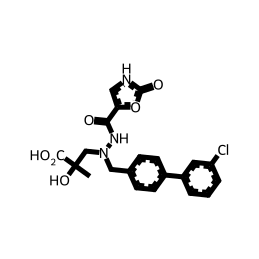 CC(O)(CN(Cc1ccc(-c2cccc(Cl)c2)cc1)NC(=O)c1c[nH]c(=O)o1)C(=O)O